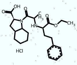 CCOC(=O)C(CCc1ccccc1)NC(C)C(=O)N1C2CCCCC2C[C@H]1C(=O)O.Cl